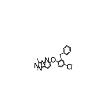 Cc1nnc2ccc(Oc3ccc(Cl)cc3Cc3ccccc3)nn12